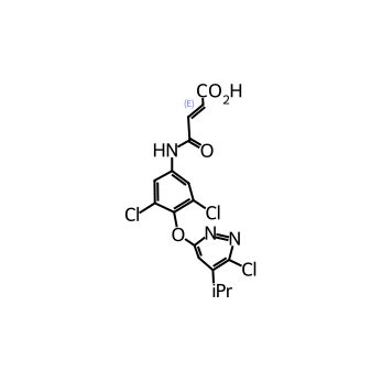 CC(C)c1cc(Oc2c(Cl)cc(NC(=O)/C=C/C(=O)O)cc2Cl)nnc1Cl